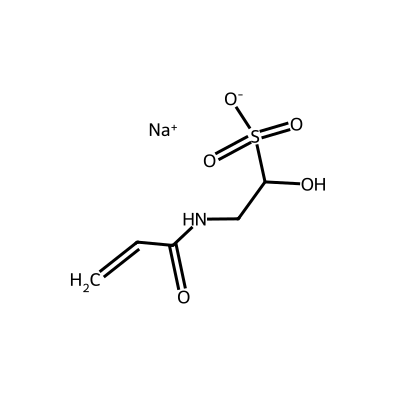 C=CC(=O)NCC(O)S(=O)(=O)[O-].[Na+]